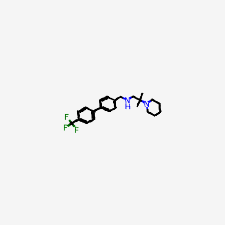 CC(C)(CNCc1ccc(-c2ccc(C(F)(F)F)cc2)cc1)N1CCCCC1